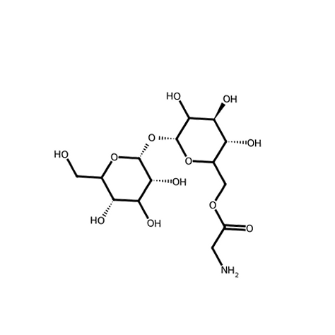 NCC(=O)OCC1O[C@H](O[C@H]2OC(CO)[C@@H](O)C(O)[C@H]2O)C(O)[C@@H](O)[C@@H]1O